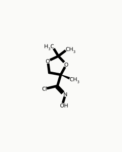 CC1(C)OC[C@@](C)(/C(Cl)=N/O)O1